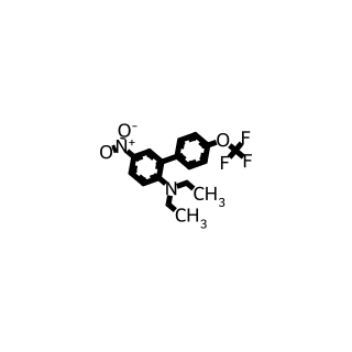 CCN(CC)c1ccc([N+](=O)[O-])cc1-c1ccc(OC(F)(F)F)cc1